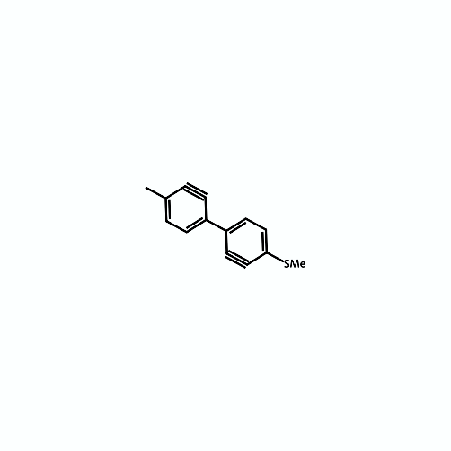 CSc1c#cc(-c2c#cc(C)cc2)cc1